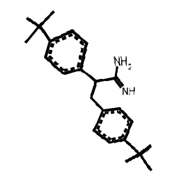 CC(C)(C)c1ccc(CC(C(=N)N)c2ccc(C(C)(C)C)cc2)cc1